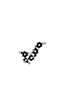 Cc1nc(Sc2ccc(O)cc2)ccc1CN1CCC(N2C(=O)OC[C@H]2c2cccc(Cl)c2)CC1